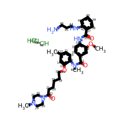 COc1cc(C(=O)N(C)c2ccc(C)cc2OCCCCCC(=O)N2CCN(C)CC2)ccc1NC(=O)c1ccccc1NCCCN.Cl.Cl.Cl